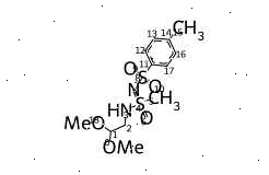 COC(CNS(C)(=O)=NS(=O)(=O)c1ccc(C)cc1)OC